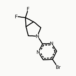 FC1(F)C2CN(c3ncc(Br)cn3)CC21